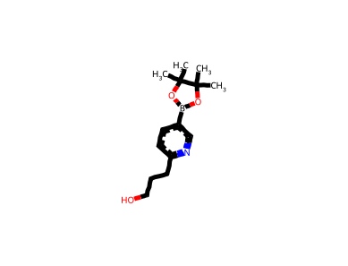 CC1(C)OB(c2ccc(CCCO)nc2)OC1(C)C